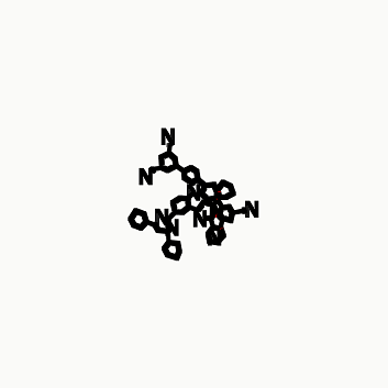 N#Cc1cc(C#N)cc(-c2ccc3c4ccc(-c5cc(C#N)cc(C#N)c5)cc4n(-c4ccc(-c5nc(-c6ccccc6)cc(-c6ccccc6)n5)cc4-c4cc(-c5ccccc5)nc(-c5ccccc5)n4)c3c2)c1